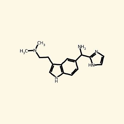 CN(C)CCc1c[nH]c2ccc(C(N)c3ncc[nH]3)cc12